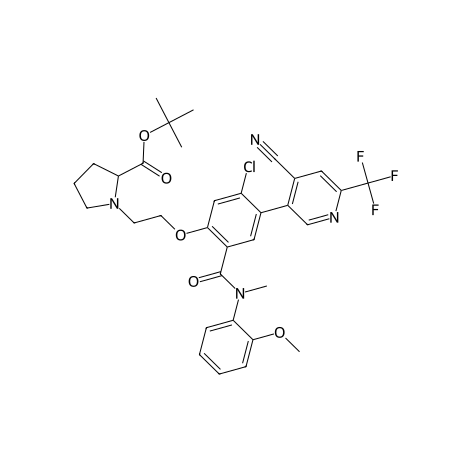 COc1ccccc1N(C)C(=O)c1cc(-c2cnc(C(F)(F)F)cc2C#N)c(Cl)cc1OCCN1CCCC1C(=O)OC(C)(C)C